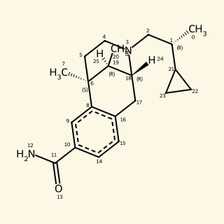 C[C@@H](CN1CC[C@]2(C)c3cc(C(N)=O)ccc3C[C@@H]1[C@@H]2C)C1CC1